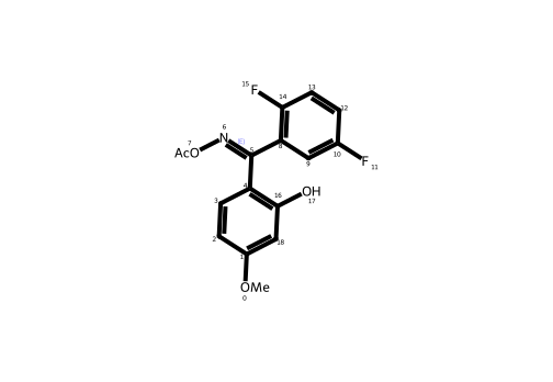 COc1ccc(/C(=N\OC(C)=O)c2cc(F)ccc2F)c(O)c1